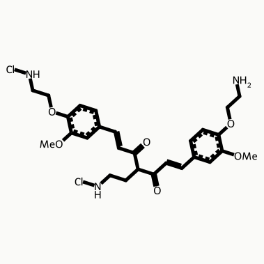 COc1cc(/C=C/C(=O)C(CCNCl)C(=O)/C=C/c2ccc(OCCNCl)c(OC)c2)ccc1OCCN